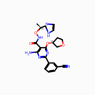 C[C@H](ONC(=O)c1c(N)nc(-c2cccc(C#N)c2)nc1O[C@H]1CCOC1)c1ncc[nH]1